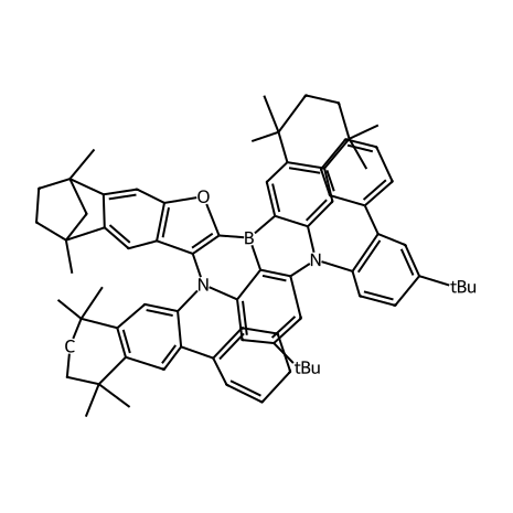 CC(C)(C)c1ccc(N2c3cc4c(cc3B3c5oc6cc7c(cc6c5N(c5cc6c(cc5C5=CCCC=C5)C(C)(C)CCC6(C)C)c5cc(C(C)(C)C)cc2c53)C2(C)CCC7(C)C2)C(C)(C)CCC4(C)C)c(-c2ccccc2)c1